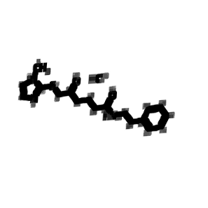 Cl.Cn1ccnc1SCC(=O)CCCC(=O)NCCc1ccccc1